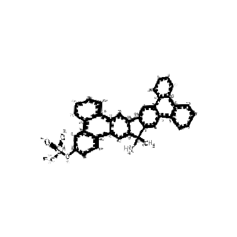 CC1(C)c2cc3c4ccccc4c4ccccc4c3cc2-c2cc3c4ccccc4c4cc(OS(=O)(=O)C(F)(F)F)ccc4c3cc21